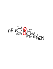 CCCC[C@H]1CC[C@H](C(=O)O[C@H]2CC[C@H](C=CC=CC#N)CC2)CC1